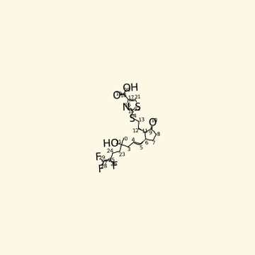 CC(O)(CC=C[C@@H]1CCC(=O)[C@@H]1CCSc1nc(C(=O)O)cs1)CCC(F)=C(F)F